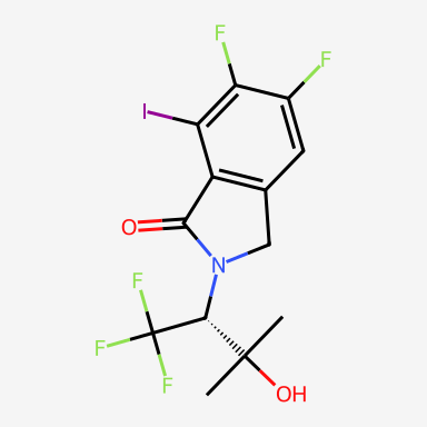 CC(C)(O)[C@@H](N1Cc2cc(F)c(F)c(I)c2C1=O)C(F)(F)F